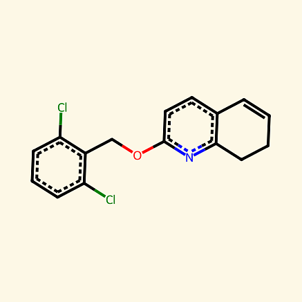 Clc1cccc(Cl)c1COc1ccc2c(n1)CCC=C2